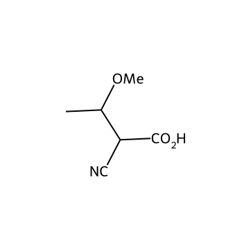 COC(C)C(C#N)C(=O)O